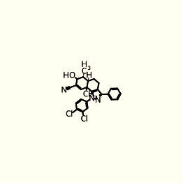 C[C@H]1C(O)C(C#N)=C[C@@]2(C)c3c(c(-c4ccccc4)nn3-c3ccc(Cl)c(Cl)c3)CC[C@H]12